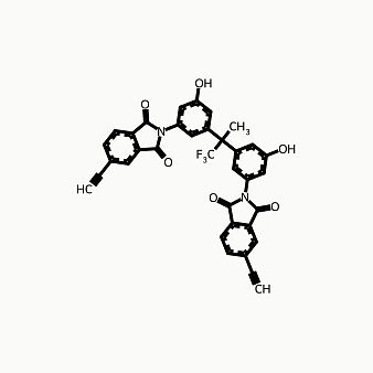 C#Cc1ccc2c(c1)C(=O)N(c1cc(O)cc(C(C)(c3cc(O)cc(N4C(=O)c5ccc(C#C)cc5C4=O)c3)C(F)(F)F)c1)C2=O